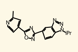 Cc1cc(-c2nc(-c3ccc4c(c3)nnn4C(C)C)no2)ccn1